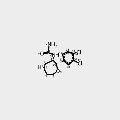 NC(=O)N[C@@H]1CNCCO[C@H]1c1ccc(Cl)c(Cl)c1